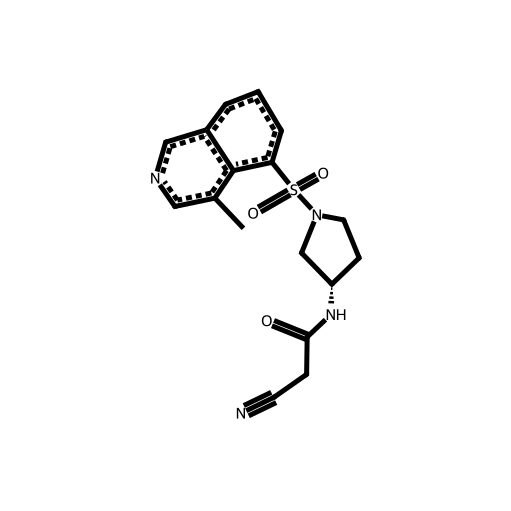 Cc1cncc2cccc(S(=O)(=O)N3CC[C@H](NC(=O)CC#N)C3)c12